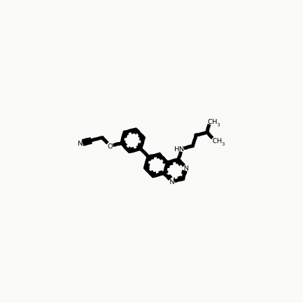 CC(C)CCNc1ncnc2ccc(-c3cccc(OCC#N)c3)cc12